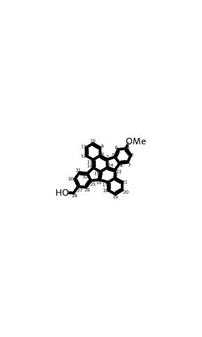 COc1ccc2c(c1)-c1c3ccccc3c3c4c(c5ccccc5c-2c14)-c1cc(CO)ccc1-3